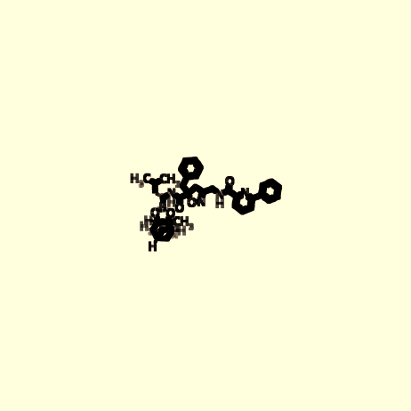 CC(C)C[C@H](NC(=O)C1(Cc2ccccc2)CC(CNC(=O)c2cccc(-c3ccccc3)n2)=NO1)B1O[C@@H]2C[C@@H]3C[C@@H](C3(C)C)[C@]2(C)O1